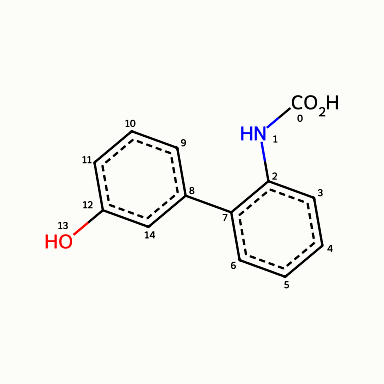 O=C(O)Nc1ccccc1-c1cccc(O)c1